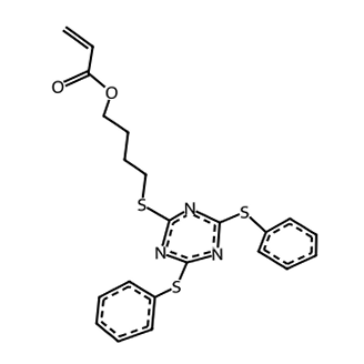 C=CC(=O)OCCCCSc1nc(Sc2ccccc2)nc(Sc2ccccc2)n1